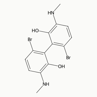 CNc1ccc(Br)c(-c2c(Br)ccc(NC)c2O)c1O